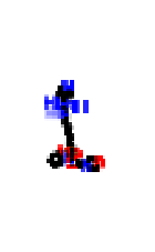 N=C(NCCCCCCCS(=O)(=O)N(OCCN1CCOCC1)C1CCCCC1)Nc1ccncc1